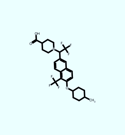 CC1CCC(Oc2ccc3cc(C(N4CCC(C(=O)O)CC4)C(F)(F)F)ccc3c2C(F)(F)F)CC1